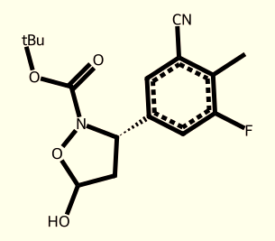 Cc1c(F)cc([C@@H]2CC(O)ON2C(=O)OC(C)(C)C)cc1C#N